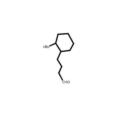 CCCCC1CCCCC1CCCC=O